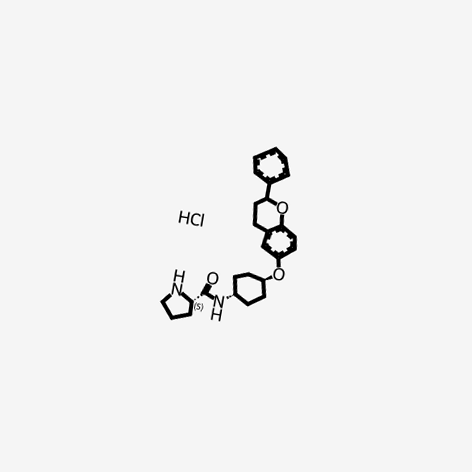 Cl.O=C(N[C@H]1CC[C@H](Oc2ccc3c(c2)CCC(c2ccccc2)O3)CC1)[C@@H]1CCCN1